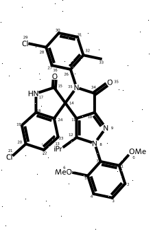 COc1cccc(OC)c1-n1nc2c(c1C(C)C)C1(C(=O)Nc3cc(Cl)ccc31)N(c1cc(Cl)ccc1C)C2=O